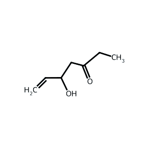 C=CC(O)CC(=O)CC